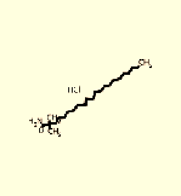 CCCCCCCCCCCCCCCCCCCCC(C)(C)C(N)=O.Cl